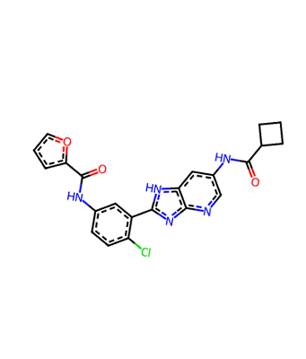 O=C(Nc1ccc(Cl)c(-c2nc3ncc(NC(=O)C4CCC4)cc3[nH]2)c1)c1ccco1